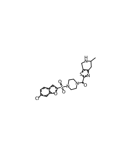 CC1Cc2nc(C(=O)N3CCN(S(=O)(=O)c4cc5ccc(Cl)cc5o4)CC3)sc2CN1